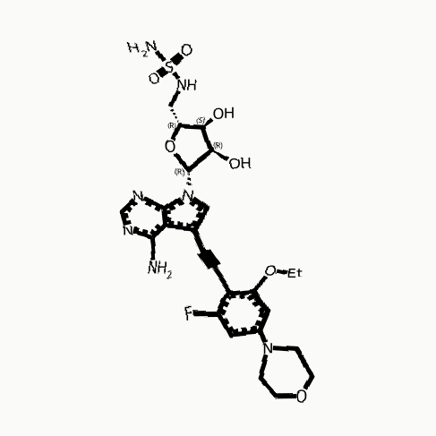 CCOc1cc(N2CCOCC2)cc(F)c1C#Cc1cn([C@@H]2O[C@H](CNS(N)(=O)=O)[C@@H](O)[C@H]2O)c2ncnc(N)c12